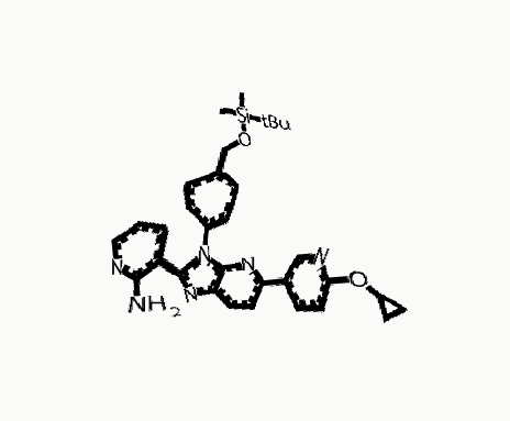 CC(C)(C)[Si](C)(C)OCc1ccc(-n2c(-c3cccnc3N)nc3ccc(-c4ccc(OC5CC5)nc4)nc32)cc1